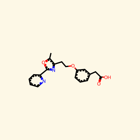 Cc1oc(-c2ccccn2)nc1CCOc1cccc(CC(=O)O)c1